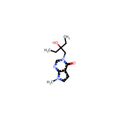 CCC(O)(CC)Cn1cnc2c(ccn2C)c1=O